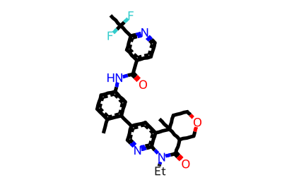 CCN1C(=O)C2COCCC2(C)c2cc(-c3cc(NC(=O)c4ccnc(C(C)(F)F)c4)ccc3C)cnc21